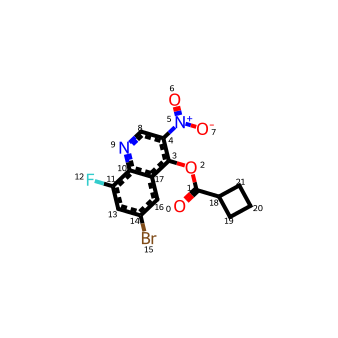 O=C(Oc1c([N+](=O)[O-])cnc2c(F)cc(Br)cc12)C1CCC1